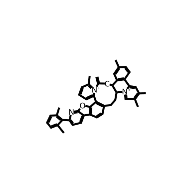 C=C1CC2c3cc(C)ccc3-c3cc(C)c(C)c[n+]3C2CCc2ccc3c(oc4nc(-c5c(C)cccc5C)ccc43)c2-c2cccc(C)[n+]21